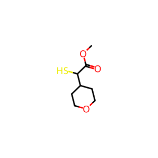 COC(=O)C(S)C1CCOCC1